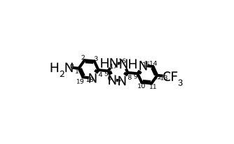 Nc1ccc(C2=NN=C(c3ccc(C(F)(F)F)cn3)NN2)nc1